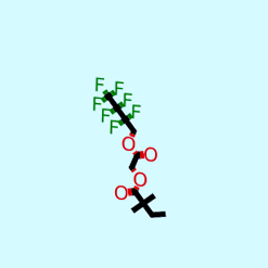 CCC(C)(C)C(=O)OCC(=O)OCC(F)(F)C(F)(F)C(F)(F)F